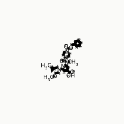 COCCN(CC1CC1C)c1cc(C(=O)O)cc(N(C)[S+]([O-])N2CCN(C(=O)OCc3ccccc3)CC2)n1